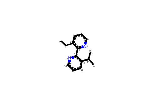 CCc1cccnc1-c1ncccc1C(C)C